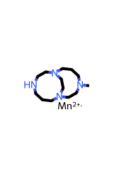 CN1CCCN2CCNCCCN(CC1)CC2.[Mn+2]